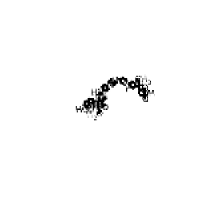 C=CCn1c(=O)c2cnc(Nc3ccc(N4CCN(CC5CCN(c6cc7c(cc6F)c(N6CCC(=O)NC6=O)nn7C)CC5)CC4)cc3)nc2n1-c1ccc2c(n1)C(C)(O)CC2